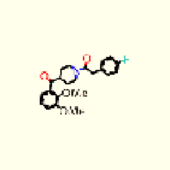 COc1cccc(C(=O)C2CCN(C(=O)Cc3ccc(F)cc3)CC2)c1OC